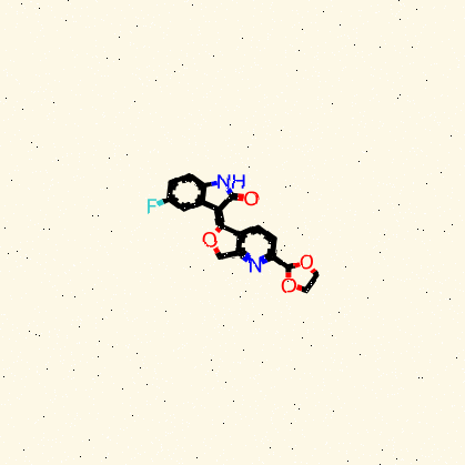 O=C1Nc2ccc(F)cc2C1=C1OCc2nc(C3OCCO3)ccc21